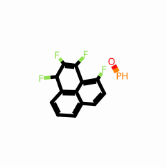 FC1=C(F)C(F)c2cccc3ccc(F)c1c23.O=P